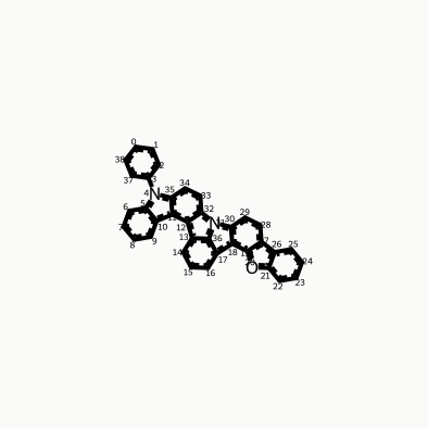 c1ccc(-n2c3ccccc3c3c4c5cccc6c7c8oc9ccccc9c8ccc7n(c4ccc32)c65)cc1